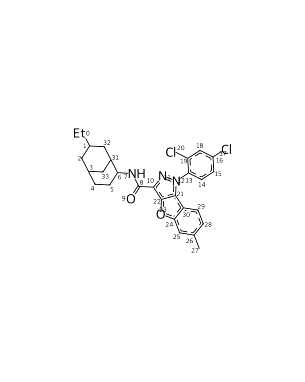 CCC1CC2CCC(NC(=O)c3nn(-c4ccc(Cl)cc4Cl)c4c3oc3cc(C)ccc34)C(C1)C2